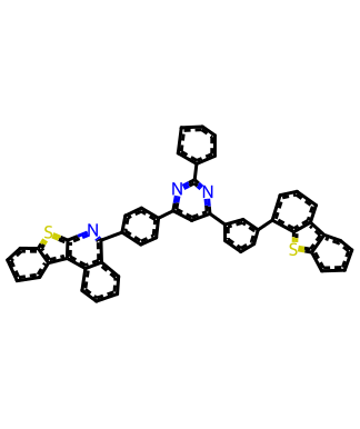 c1ccc(-c2nc(-c3ccc(-c4nc5sc6ccccc6c5c5ccccc45)cc3)cc(-c3cccc(-c4cccc5c4sc4ccccc45)c3)n2)cc1